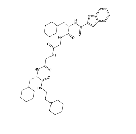 O=C(CNC(=O)[C@H](CC1CCCCC1)NC(=O)c1cc2ccccc2o1)NCC(=O)N[C@@H](CC1CCCCC1)C(=O)NCCN1CCCCC1